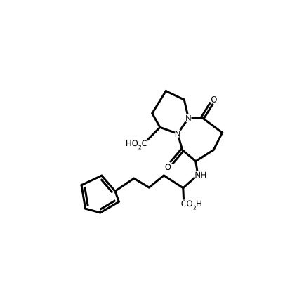 O=C(O)C(CCCc1ccccc1)NC1CCC(=O)N2CCCC(C(=O)O)N2C1=O